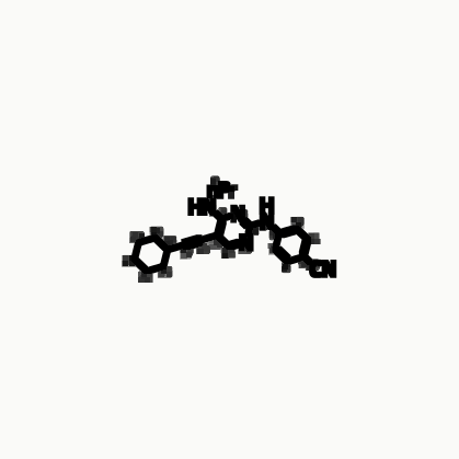 CCCNc1nc(Nc2ccc(C#N)cc2)ncc1C#CC1CCCCC1